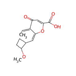 C/C=c1/c(=O)cc(C(=O)O)o/c1=C/C1CCC1OC